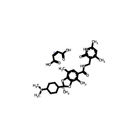 Cc1cc(C)c(CNC(=O)c2cc(C)c3c(c2C)O[C@@](C)(C2CCC(N(C)C)CC2)O3)c(=O)[nH]1.O=C(O)/C=C\C(=O)O